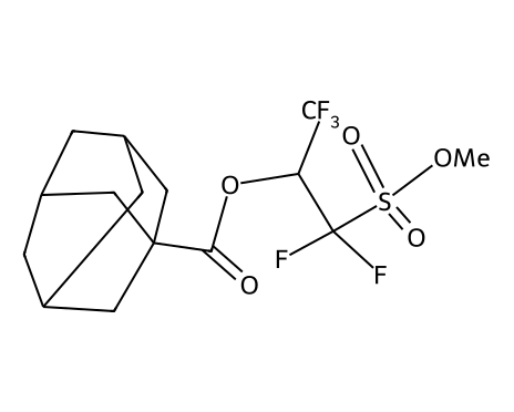 COS(=O)(=O)C(F)(F)C(OC(=O)C12CC3CC(CC(C3)C1)C2)C(F)(F)F